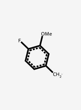 [CH2]c1ccc(F)c(OC)c1